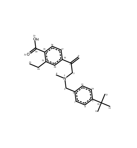 C=C(CN(C)Cc1ccc(C(C)(C)C)cc1)c1ccc(C(=O)O)c(CC)c1